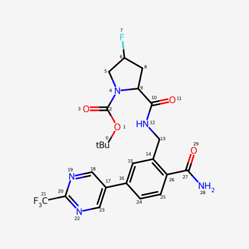 CC(C)(C)OC(=O)N1CC(F)CC1C(=O)NCc1cc(-c2cnc(C(F)(F)F)nc2)ccc1C(N)=O